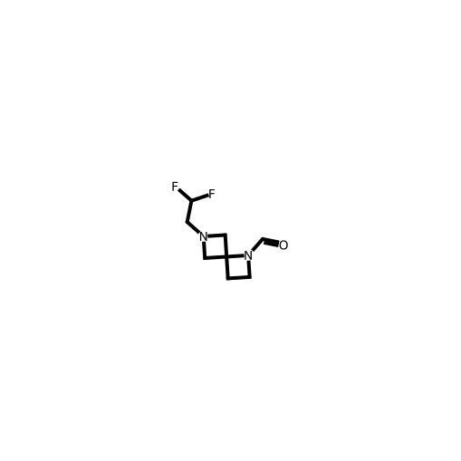 O=CN1CCC12CN(CC(F)F)C2